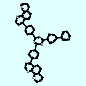 c1ccc(-c2ccc(-c3nc(-c4ccc(-c5ccnc6c5ccc5cccnc56)cc4)nc(-c4ccc(-c5ccnc6c5ccc5cccnc56)cc4)n3)cc2)cc1